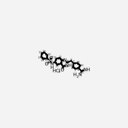 Cl.N=C(N)c1ccc(Cc2nc3ccc(NS(=O)(=O)c4ccccc4)cc3c(=O)[nH]2)cc1